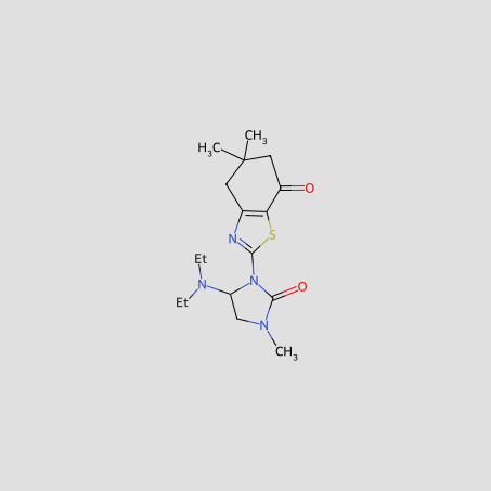 CCN(CC)C1CN(C)C(=O)N1c1nc2c(s1)C(=O)CC(C)(C)C2